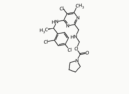 Cc1nc(CNCOC(=O)N2CCCC2)nc(N[C@H](C)c2ccc(Cl)cc2Cl)c1Cl